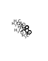 CCN(CC)C(=O)Nn1c(C(C)=O)c2c3c(cccc31)C1=CCCN(C)[C@@H]1C2